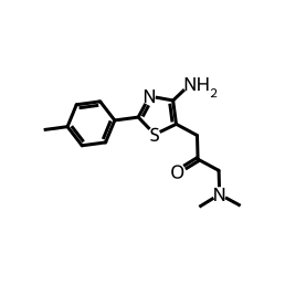 Cc1ccc(-c2nc(N)c(CC(=O)CN(C)C)s2)cc1